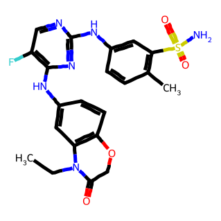 CCN1C(=O)COc2ccc(Nc3nc(Nc4ccc(C)c(S(N)(=O)=O)c4)ncc3F)cc21